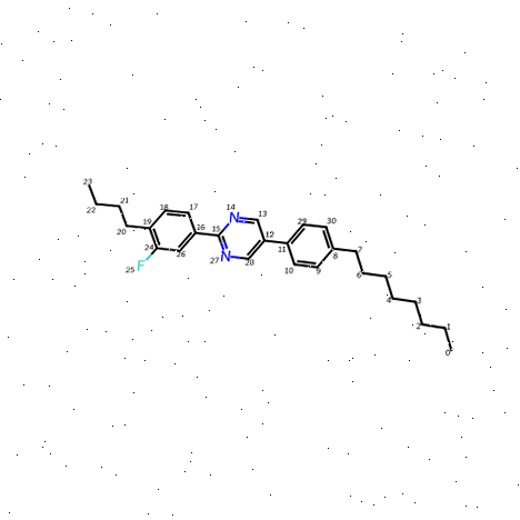 CCCCCCCCc1ccc(-c2cnc(-c3ccc(CCCC)c(F)c3)nc2)cc1